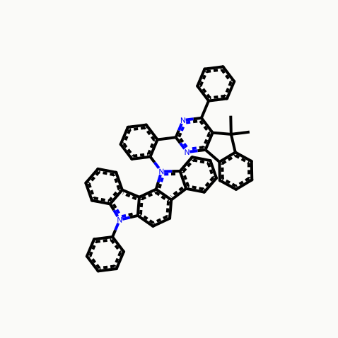 CC1(C)c2ccccc2-c2nc(-c3ccccc3-n3c4ccccc4c4ccc5c(c6ccccc6n5-c5ccccc5)c43)nc(-c3ccccc3)c21